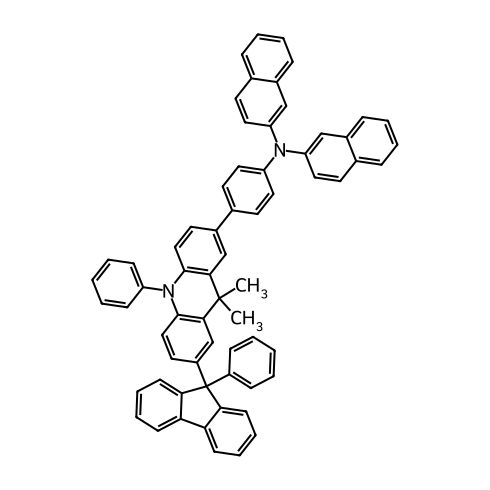 CC1(C)c2cc(-c3ccc(N(c4ccc5ccccc5c4)c4ccc5ccccc5c4)cc3)ccc2N(c2ccccc2)c2ccc(C3(c4ccccc4)c4ccccc4-c4ccccc43)cc21